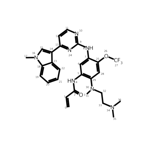 C=CC(=O)Nc1cc(Nc2nccc(-c3cn(C)c4ccccc34)n2)c(OC(F)(F)F)cc1N(C)CCN(C)C